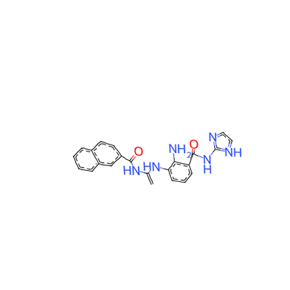 C=C(NC(=O)c1ccc2ccccc2c1)Nc1cccc(C(=O)Nc2ncc[nH]2)c1N